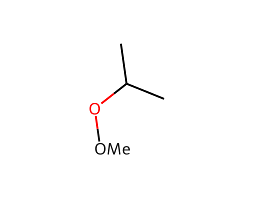 COOC(C)C